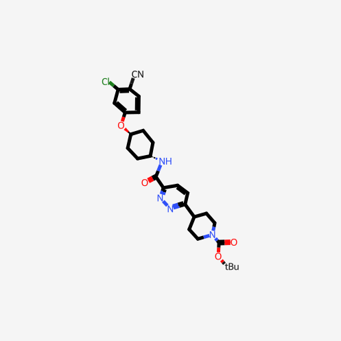 CC(C)(C)OC(=O)N1CCC(c2ccc(C(=O)N[C@H]3CC[C@H](Oc4ccc(C#N)c(Cl)c4)CC3)nn2)CC1